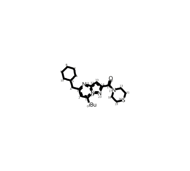 CCC(C)c1cc(CC2CCCCC2)nc2cc(C(=O)N3CCSCC3)nn12